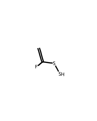 C=C(F)SS